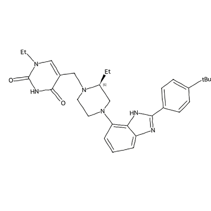 CC[C@H]1CN(c2cccc3nc(-c4ccc(C(C)(C)C)cc4)[nH]c23)CCN1Cc1cn(CC)c(=O)[nH]c1=O